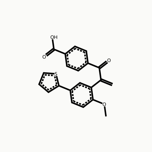 C=C(C(=O)c1ccc(C(=O)O)cc1)c1cc(-c2cccs2)ccc1OC